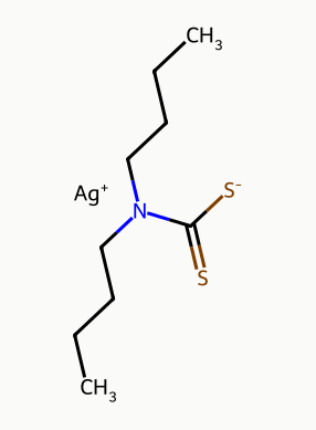 CCCCN(CCCC)C(=S)[S-].[Ag+]